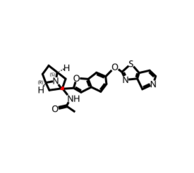 CC(=O)NC1C[C@H]2CC[C@@H](C1)N2Cc1cc2ccc(Oc3nc4cnccc4s3)cc2o1